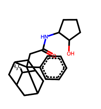 CC1C2CC3CC1CC(C2)C3(CC(=O)NC1CCCC1O)c1ccccc1